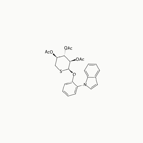 CC(=O)O[C@@H]1[C@@H](OC(C)=O)[C@@H](Oc2ccccc2-n2ccc3ccccc32)SC[C@H]1OC(C)=O